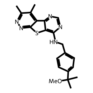 COC(C)(C)c1ccc(CNc2ncnc3c2sc2nnc(C)c(C)c23)cc1